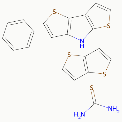 NC(N)=S.c1cc2c([nH]c3ccsc32)s1.c1cc2sccc2s1.c1ccccc1